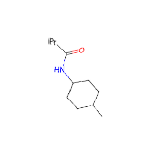 CC1CCC(NC(=O)C(C)C)CC1